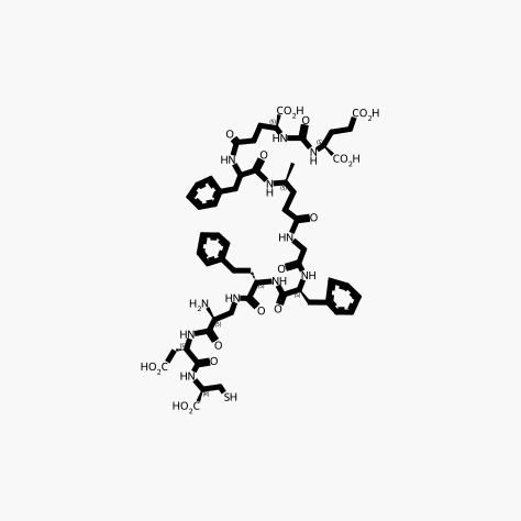 C[C@@H](CCC(=O)NCC(=O)N[C@@H](Cc1ccccc1)C(=O)N[C@@H](CCc1ccccc1)C(=O)NC[C@H](N)C(=O)N[C@@H](CC(=O)O)C(=O)N[C@@H](CS)C(=O)O)NC(=O)C(Cc1ccccc1)NC(=O)CC[C@H](NC(=O)N[C@@H](CCC(=O)O)C(=O)O)C(=O)O